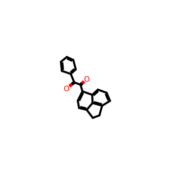 O=C(C(=O)c1ccc2c3c(cccc13)CC2)c1ccccc1